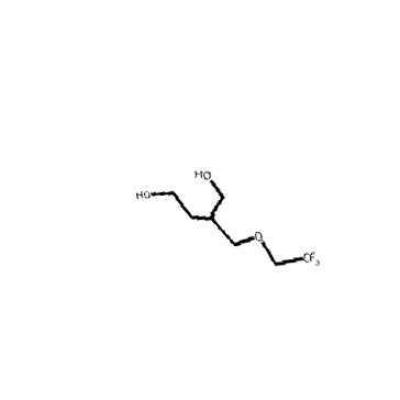 OCCC(CO)COCC(F)(F)F